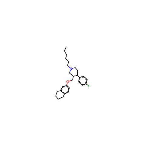 CCCCCCN1CCC(c2ccc(F)cc2)C(COc2ccc3c(c2)CCCC3)C1